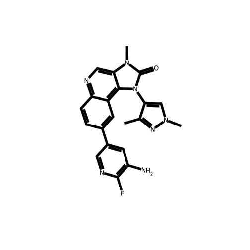 Cc1nn(C)cc1-n1c(=O)n(C)c2cnc3ccc(-c4cnc(F)c(N)c4)cc3c21